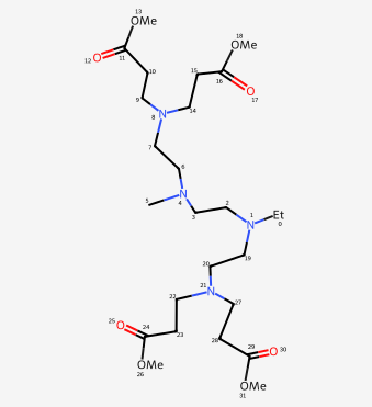 CCN(CCN(C)CCN(CCC(=O)OC)CCC(=O)OC)CCN(CCC(=O)OC)CCC(=O)OC